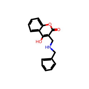 O=c1oc2ccccc2c(O)c1CNCc1ccccc1